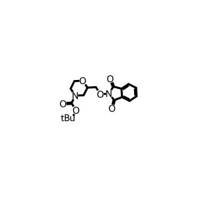 CC(C)(C)OC(=O)N1CCOC(CON2C(=O)c3ccccc3C2=O)C1